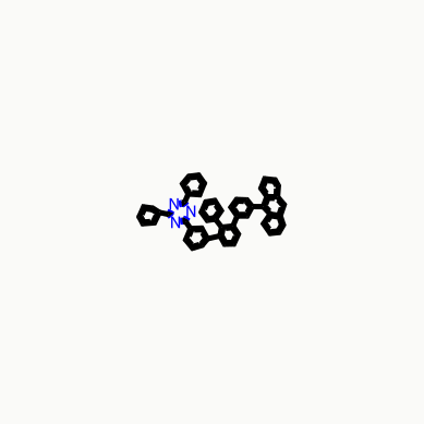 c1ccc(-c2nc(-c3ccccc3)nc(-c3cccc(-c4cccc(-c5cccc(-c6c7ccccc7cc7ccccc67)c5)c4-c4ccccc4)c3)n2)cc1